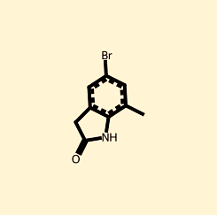 Cc1cc(Br)cc2c1NC(=O)C2